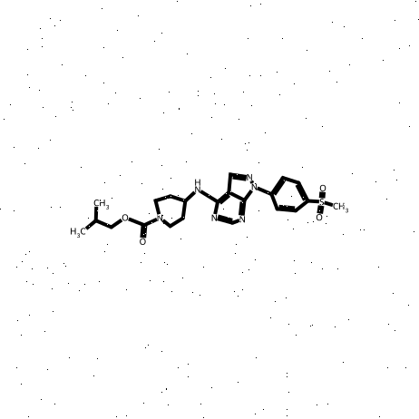 CC(C)COC(=O)N1CCC(Nc2ncnc3c2cnn3-c2ccc(S(C)(=O)=O)cc2)CC1